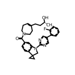 C[C@@H](O)CCC1=CCCN(C(=O)c2ccc3c(c2)N(c2ncc(-c4ccccc4F)cn2)CC32CC2)CC1